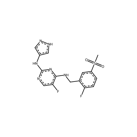 CS(=O)(=O)c1ccc(F)c(CNc2nc(Nc3cn[nH]c3)ncc2F)c1